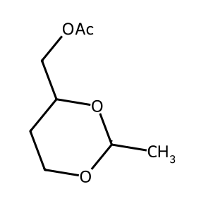 C[C]1OCCC(COC(C)=O)O1